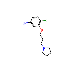 Nc1ccc(Cl)c(OCCCN2CCCC2)c1